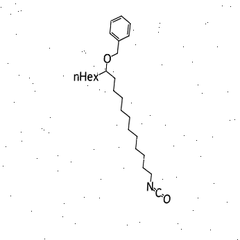 CCCCCCC(CCCCCCCCCCCN=C=O)OCc1ccccc1